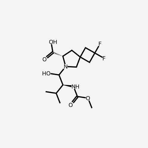 COC(=O)N[C@@H](C(C)C)C(O)N1CC2(C[C@H]1C(=O)O)CC(F)(F)C2